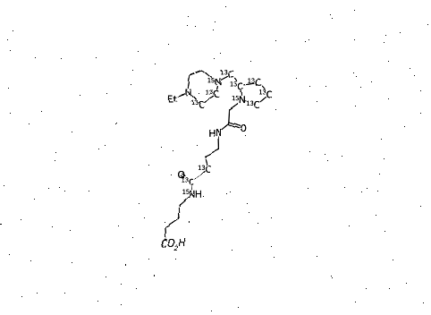 CCN1CC[15N]([13CH2][13CH]2[13CH2][13CH2][13CH2][15N]2CC(=O)NCC[13CH2][13C](=O)[15NH]CCCC(=O)O)[13CH2][13CH2]1